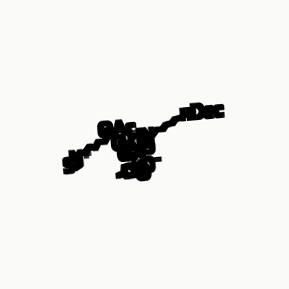 CCCCCCCCCCCCCCCCCNC(=O)O[C@@H]1CCCO[C@H]1COCC(CCCCCC[n+]1ccsc1)OC(C)=O.Cc1ccc(S(=O)(=O)[O-])cc1